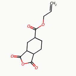 C=CCOC(=O)C1CCC2C(=O)OC(=O)C2C1